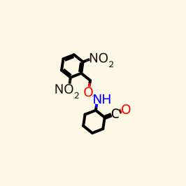 O=C=C1CCCCC1NOCc1c([N+](=O)[O-])cccc1[N+](=O)[O-]